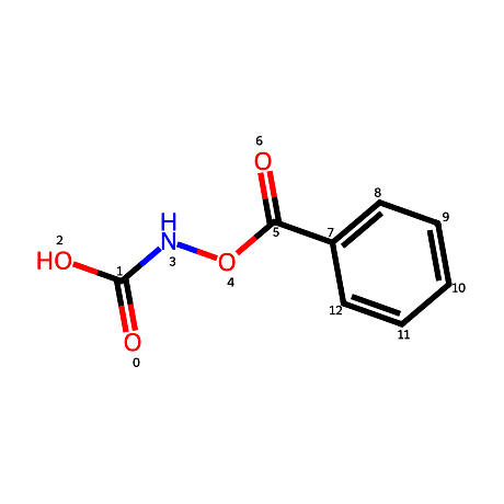 O=C(O)NOC(=O)c1ccccc1